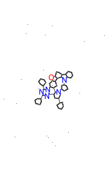 c1ccc(-c2cnc(-c3ccc4oc5ccc6c7ccccc7n(-c7ccccc7)c6c5c4c3)c(-c3nc(-c4ccccc4)nc(-c4ccccc4)n3)c2)cc1